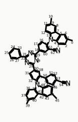 Cc1ccc2c(c1)c1cc(C)ccc1n2-c1ccc(-c2nc(-c3ccccc3)nc(-c3ccc(-n4c5ccc(C)cc5c5cc(C)ccc54)c(-c4ccc(C#N)cc4)c3)n2)cc1C#N